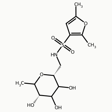 Cc1cc(S(=O)(=O)NC[C@H]2OC(C)[C@@H](O)C(O)C2O)c(C)o1